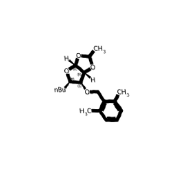 CCCC[C@H]1O[C@@H]2OC(C)O[C@@H]2[C@H]1OCc1c(C)cccc1C